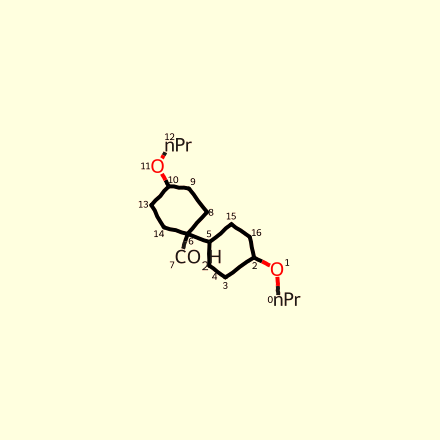 CCCOC1CCC(C2(C(=O)O)CCC(OCCC)CC2)CC1